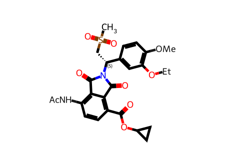 CCOc1cc([C@@H](CS(C)(=O)=O)N2C(=O)c3c(NC(C)=O)ccc(C(=O)OC4CC4)c3C2=O)ccc1OC